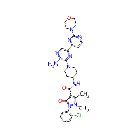 Cc1c(C(=O)NC2CCN(c3nc(-c4ccnc(N5CCOCC5)n4)cnc3N)CC2)c(=O)n(-c2ccccc2Cl)n1C